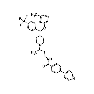 Cc1cccc(OC(c2ccc(C(F)(F)F)cc2)C2CCN([C@H](C)CCNC(=O)c3ccc(-c4ccncc4)cc3)CC2)n1